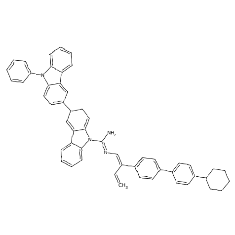 C=C/C(=C\N=C(/N)n1c2c(c3ccccc31)=CC(c1ccc3c(c1)c1ccccc1n3-c1ccccc1)CC=2)c1ccc(-c2ccc(C3CCCCC3)cc2)cc1